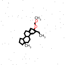 CCc1cc2c(cc1OCOC)CCC1C2CCC2(C)[CH]CCC12